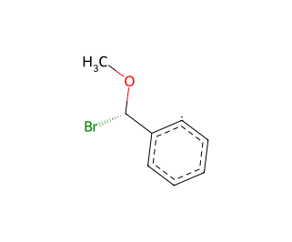 CO[C@@H](Br)c1[c]cccc1